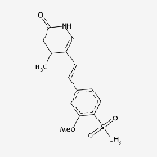 COc1cc(C=CC2=NNC(=O)CC2C)ccc1S(C)(=O)=O